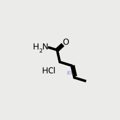 C/C=C/CC(N)=O.Cl